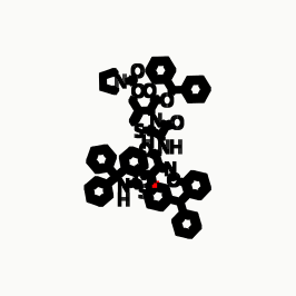 O=C(NC1C(=O)N2C(C(=O)OC(c3ccccc3)c3ccccc3)C(COC(=O)N3CCCC3)=CS[C@@H]12)C(=NOc1ccccc1C(c1ccccc1)c1ccccc1)c1csc(NC(c2ccccc2)(c2ccccc2)c2ccccc2)n1